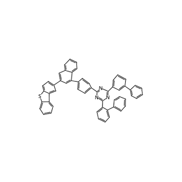 c1ccc(-c2cccc(-c3nc(-c4ccc(-c5cc(-c6ccc7sc8ccccc8c7c6)cc6ccccc56)cc4)nc(-c4ccccc4-c4ccccc4)n3)c2)cc1